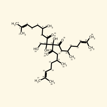 CC(C)=CCCC(C)CC(=O)C(O)(CO)C(O)(C(=O)CC(C)CCC=C(C)C)C(=O)CC(C)CCC=C(C)C